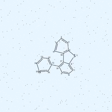 [c]1cccc2sc3cccc(-c4cccnc4)c3c12